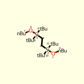 CCCCO[Si](CC[Si](OCCCC)(C(C)(C)C)C(C)(C)C)(C(C)(C)C)C(C)(C)C